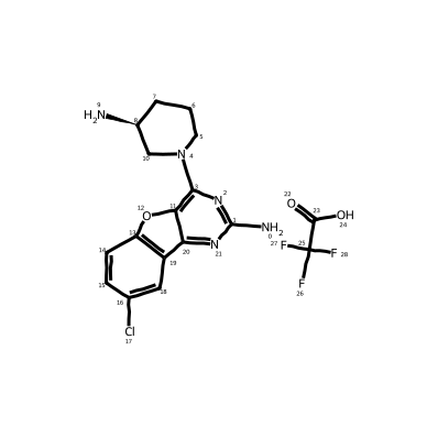 Nc1nc(N2CCC[C@H](N)C2)c2oc3ccc(Cl)cc3c2n1.O=C(O)C(F)(F)F